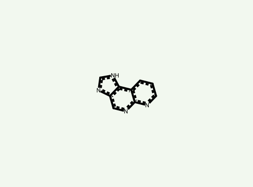 c1cnc2ncc3nc[nH]c3c2c1